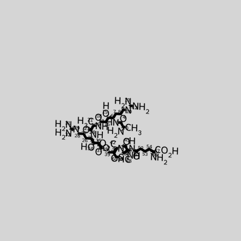 CC(N)C(=O)NC(CCCN=C(N)N)C(O)CC(=O)NC(C)C(=O)NC(CCCN=C(N)N)C(O)CC(=O)OCC1=C(C(=O)O)N2C(=O)C(NC=O)(NC(=O)CCCC(N)C(=O)O)C2SC1